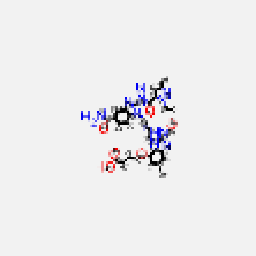 CCn1nc(C)cc1C(=O)Nc1nc2cc(C(N)=O)ccc2n1C/C=C/Cn1c(NC=O)nc2cc(C)cc(OCCCC(=O)O)c21